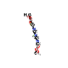 C=CC(=O)OCCOc1ccc(/N=N/c2ccc(/N=N/c3ccc(/N=N/c4ccc5cc(OCCOC(=O)C=C)sc5c4)cc3)c(F)c2)cc1